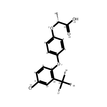 C[C@@H](Oc1ccc(Oc2ccc(Cl)cc2C(F)(F)F)cc1)C(=O)O